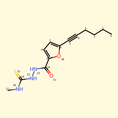 CCCCC#Cc1ccc(C(=O)NNC(=S)NC)o1